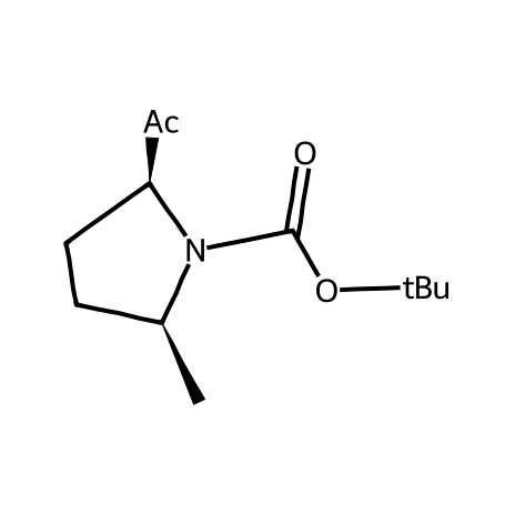 CC(=O)[C@@H]1CC[C@H](C)N1C(=O)OC(C)(C)C